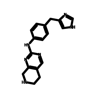 c1nc(Cc2ccc(Nc3ncc4c(n3)CNCC4)cc2)c[nH]1